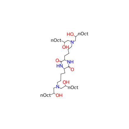 CCCCCCCCC(O)CN(CCCCC1NC(=O)C(CCCCN(CC(O)CCCCCCCC)CC(O)CCCCCCCC)NC1=O)CC(O)CCCCCCCC